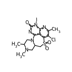 Cc1nc2c3c(nc(=O)n2I)N2CC(C)N(C)CC2CS(=O)(=O)c3c1Cl